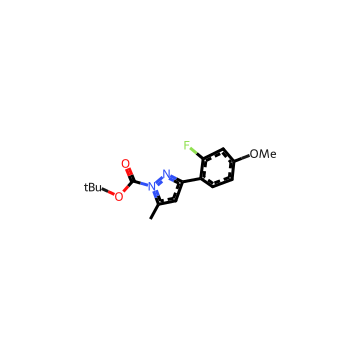 COc1ccc(-c2cc(C)n(C(=O)OC(C)(C)C)n2)c(F)c1